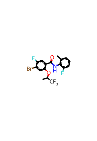 Cc1cccc(F)c1NC(=O)c1cc(F)c(Br)cc1OC(C)C(F)(F)F